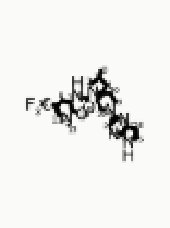 CC1CN(C(=O)Nc2cc(C(F)(F)F)cn(C)c2=O)C2(CCN(c3cnc4[nH]ccc4n3)CC2)C1